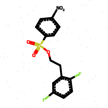 O=[N+]([O-])c1ccc(S(=O)(=O)OCCc2cc(F)ccc2F)cc1